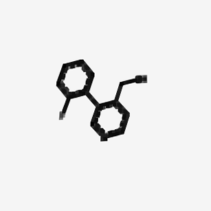 OCc1ccncc1-c1ccccc1F